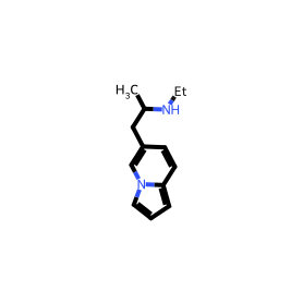 CCNC(C)Cc1ccc2cccn2c1